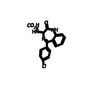 O=C(O)NC1N=C(c2ccc(Cl)cc2)c2ccccc2NC1=O